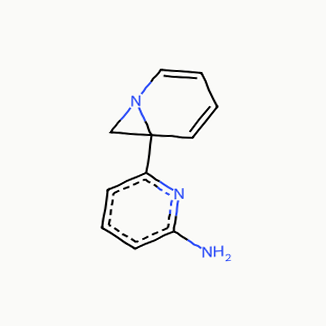 Nc1cccc(C23C=CC=CN2C3)n1